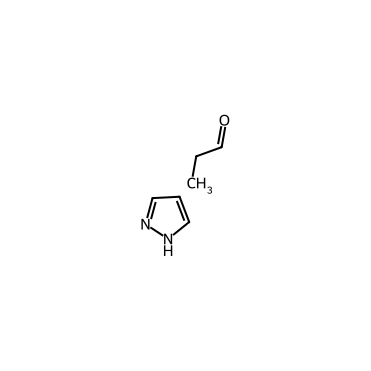 CCC=O.c1cn[nH]c1